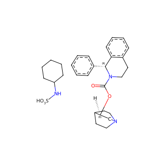 O=C(O[C@H]1CN2CCC1CC2)N1CCc2ccccc2[C@H]1c1ccccc1.O=S(=O)(O)NC1CCCCC1